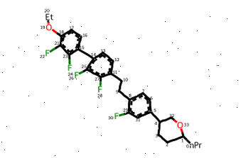 CCCC1CCC(c2ccc(CCc3ccc(-c4ccc(OCC)c(F)c4F)c(F)c3F)c(F)c2)CO1